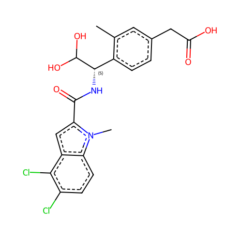 Cc1cc(CC(=O)O)ccc1[C@H](NC(=O)c1cc2c(Cl)c(Cl)ccc2n1C)C(O)O